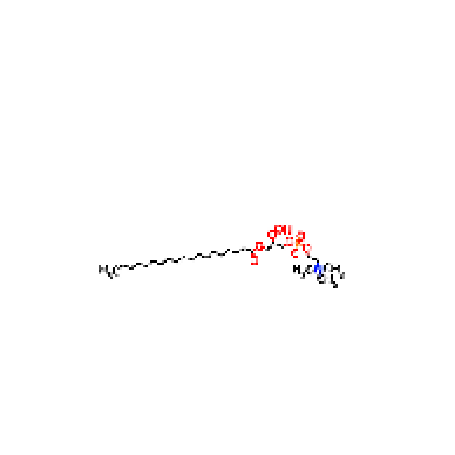 CCCCCCCCCCCCCCCCCCC(=O)OC[C@H](COP(=O)([O-])OCC[N+](C)(C)C)OO